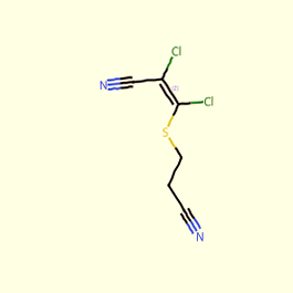 N#CCCS/C(Cl)=C(/Cl)C#N